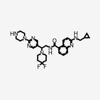 O=C(NCC(c1cnc(N2CCNCC2)nc1)N1CCC(F)(F)CC1)c1cccc2nc(NCC3CC3)ccc12